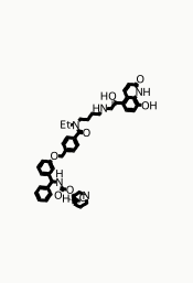 CCN(CCCCNC[C@H](O)c1ccc(O)c2[nH]c(=O)ccc12)C(=O)c1ccc(COc2cccc(C(NC(=O)O[C@H]3CN4CCC3CC4)c3ccccc3)c2)cc1